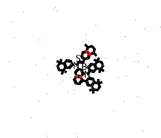 Cc1cc2c3c(c1)N(c1ccc4c(c1)C(C)(C)CCC4(C)C)c1sc4cc5c(cc4c1B3c1cc3c(cc1N2c1cc2c(cc1-c1ccccc1)C(C)(C)CCC2(C)C)C(C)(C)CCC3(C)C)C1(C)CCC5(C)CC1